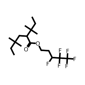 CCC(C)(C)CC(C(=O)OCCC(F)C(F)(F)C(F)(F)F)C(C)(C)CC